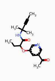 CC#CC(C)(C)NC(=O)C(CC)Oc1cncc(C(C)=O)c1